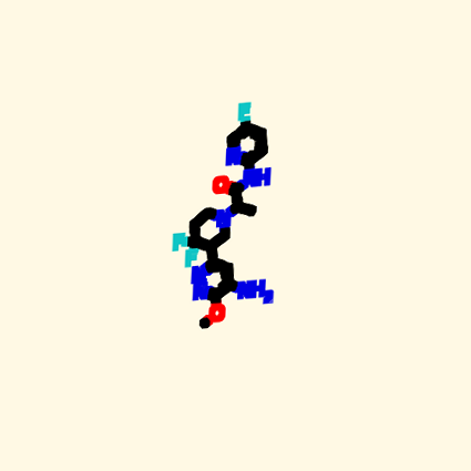 COc1nnc(C2CN(C(C)C(=O)Nc3ccc(F)cn3)CCC2(F)F)cc1N